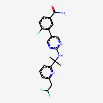 CC(C)(Nc1ncc(-c2cc(C(N)=O)ccc2F)cn1)c1cccc(CC(F)F)n1